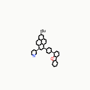 CC(C)(C)c1cc2ccc3c(-c4ccc(-c5cccc6c5oc5ccccc56)cc4)cc(-c4cccnc4)c4ccc(c1)c2c34